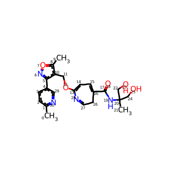 Cc1ccc(-c2noc(C)c2COC2=CC=C(C(=O)NC(C)(CO)CO)CC=N2)cn1